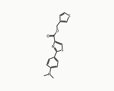 CN(C)c1ccc(-c2nc(C(=O)OCc3ccsc3)cs2)cc1